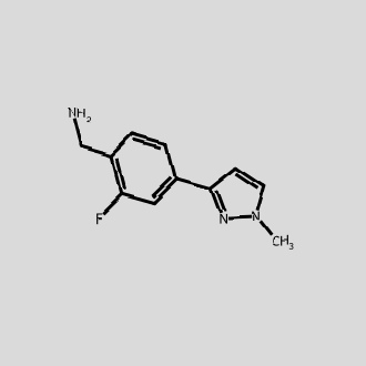 Cn1ccc(-c2ccc(CN)c(F)c2)n1